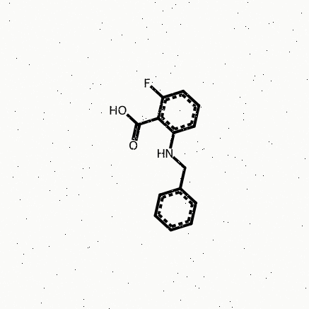 O=C(O)c1c(F)cccc1NCc1ccccc1